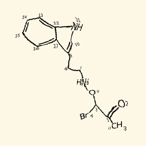 CC(=O)C(Br)ONCCc1c[nH]c2ccccc12